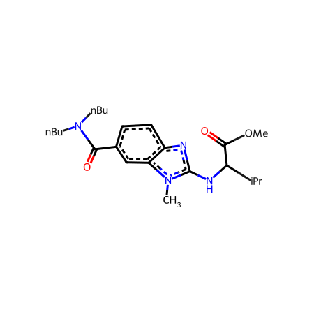 CCCCN(CCCC)C(=O)c1ccc2nc(NC(C(=O)OC)C(C)C)n(C)c2c1